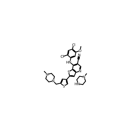 CN1CCNCC1.COc1cc(Nc2c(C#N)cnc3cc(-c4csc(CN5CCN(C)CC5)c4)sc23)c(Cl)cc1Cl